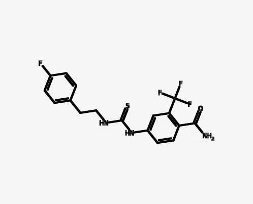 NC(=O)c1ccc(NC(=S)NCCc2ccc(F)cc2)cc1C(F)(F)F